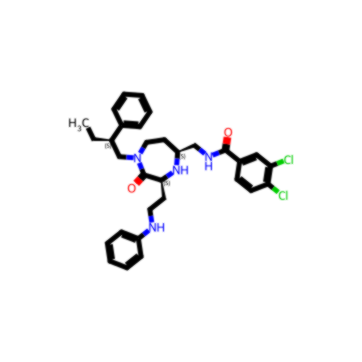 CC[C@H](CN1CC[C@@H](CNC(=O)c2ccc(Cl)c(Cl)c2)N[C@@H](CCNc2ccccc2)C1=O)c1ccccc1